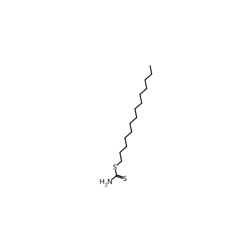 CCCCCCCCCCCCCCSC(N)=S